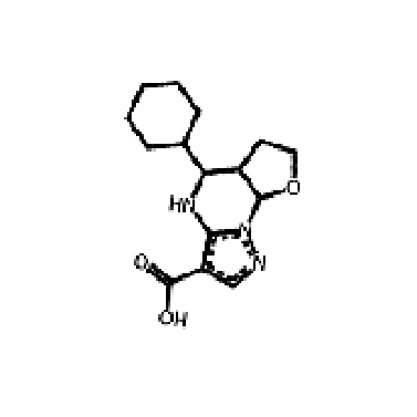 O=C(O)c1cnn2c1NC(C1CCCCC1)C1CCOC12